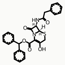 O=C(Cc1ccccc1)N[C@@H]1C(=O)N2C(C(=O)OC(c3ccccc3)c3ccccc3)=C(O)CS[C@H]12